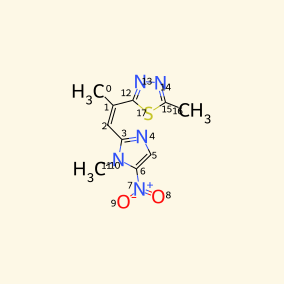 CC(=Cc1ncc([N+](=O)[O-])n1C)c1nnc(C)s1